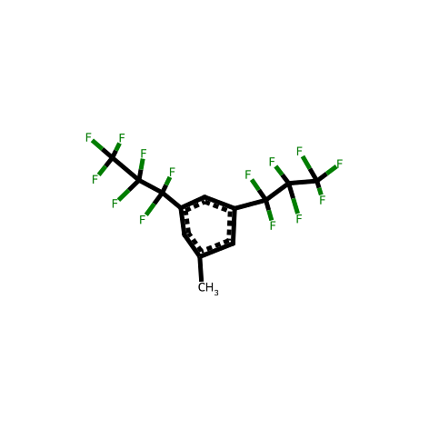 Cc1cc(C(F)(F)C(F)(F)C(F)(F)F)cc(C(F)(F)C(F)(F)C(F)(F)F)c1